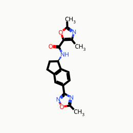 Cc1nc(-c2ccc3c(c2)CC[C@H]3NC(=O)c2oc(C)nc2C)no1